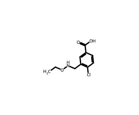 CCONCc1cc(C(=O)O)ccc1Cl